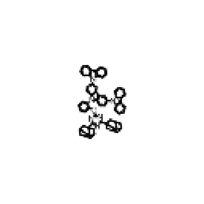 c1ccc(-n2c3ccc(-n4c5ccccc5c5ccccc54)cc3c3cc(-n4c5ccccc5c5ccccc54)ccc32)c(Oc2nc(C34CC5CC(CC(C5)C3)C4)nc(C34CC5CC(CC(C5)C3)C4)n2)c1